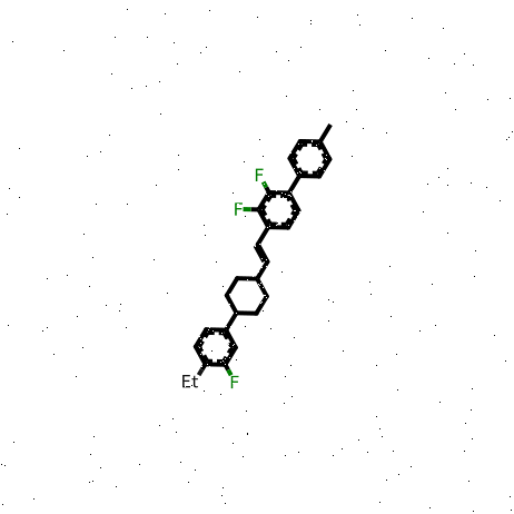 CCc1ccc(C2CCC(/C=C/c3ccc(-c4ccc(C)cc4)c(F)c3F)CC2)cc1F